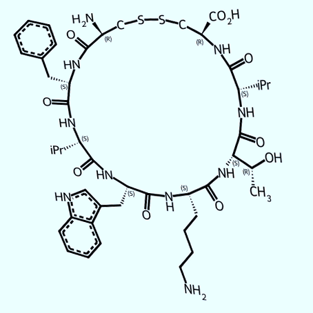 CC(C)[C@@H]1NC(=O)[C@H](Cc2ccccc2)NC(=O)[C@@H](N)CSSC[C@@H](C(=O)O)NC(=O)[C@H](C(C)C)NC(=O)[C@H]([C@@H](C)O)NC(=O)[C@H](CCCCN)NC(=O)[C@H](Cc2c[nH]c3ccccc23)NC1=O